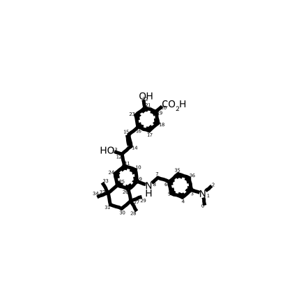 CN(C)c1ccc(CNc2cc(C(O)C=Cc3ccc(C(=O)O)c(O)c3)cc3c2C(C)(C)CCC3(C)C)cc1